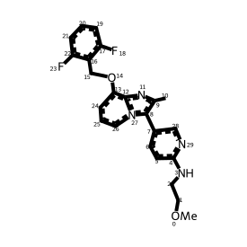 COCCNc1ccc(-c2c(C)nc3c(OCc4c(F)cccc4F)cccn23)cn1